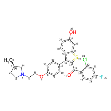 C[C@@H]1CCN(CCOc2ccc(-c3c(C(=O)c4ccc(F)cc4Cl)sc4cc(O)ccc34)cc2)C1